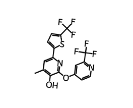 Cc1cc(-c2ccc(C(F)(F)F)s2)nc(Oc2ccnc(C(F)(F)F)c2)c1O